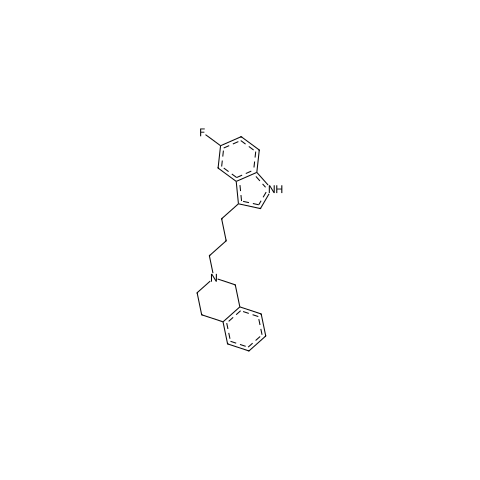 Fc1ccc2[nH]cc(CCCN3CCc4ccccc4C3)c2c1